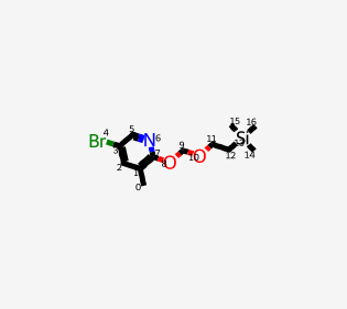 Cc1cc(Br)cnc1OCOCC[Si](C)(C)C